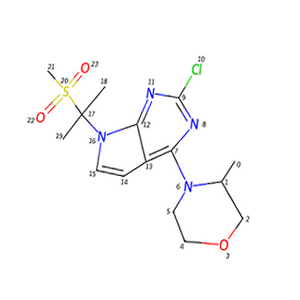 CC1COCCN1c1nc(Cl)nc2c1ccn2C(C)(C)S(C)(=O)=O